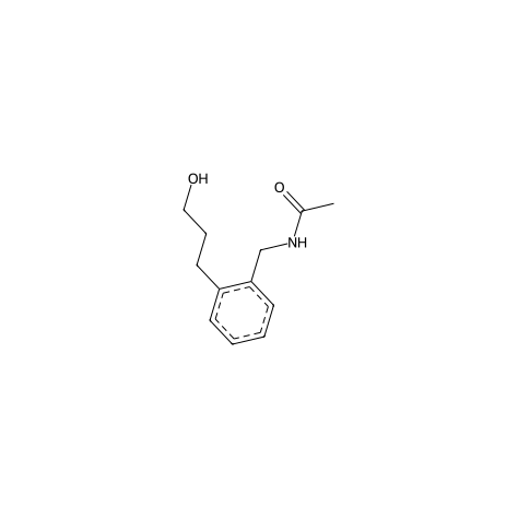 CC(=O)NCc1ccccc1CCCO